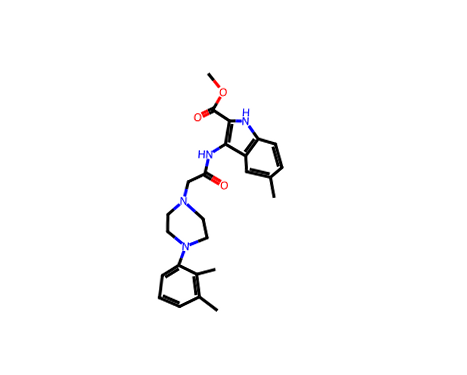 COC(=O)c1[nH]c2ccc(C)cc2c1NC(=O)CN1CCN(c2cccc(C)c2C)CC1